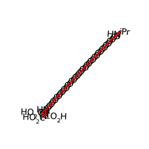 CC(C)CCCCNC(=O)CCOCCOCCOCCOCCOCCOCCOCCOCCOCCOCCOCCOCCOCCOCCOCCOCCOCCOCCOCCOCCOCCOCCOCCOCCOCCOCCOCCOCCOCCOCCOCCOCCOCCOCCOCCOCCNC(=O)CN1CCN(CC(=O)O)CCN(CC(=O)O)CCN(CC(=O)O)CC1